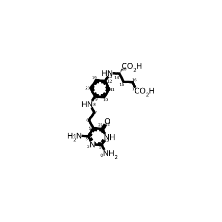 Nc1nc(N)c(CCNc2ccc(N[C@@H](CCC(=O)O)C(=O)O)cc2)c(=O)[nH]1